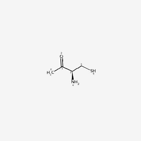 [CH2]C(=O)[C@H](N)CS